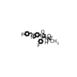 CC(F)(F)C(=O)N[C@H]1CC(=O)N(c2ccc3c(cnn3Cc3ccc(F)cc3)c2)[C@@H]1c1ccc(F)cc1